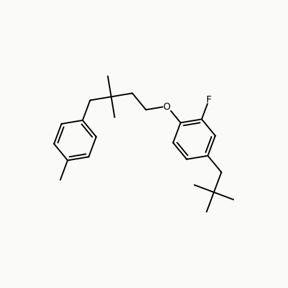 Cc1ccc(CC(C)(C)CCOc2ccc(CC(C)(C)C)cc2F)cc1